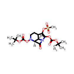 CC(C)(C)OC(=O)OC1=C(OS(C)(=O)=O)C2CCN(OC(=O)OC(C)(C)C)[C@@H]3C(=O)N1[C@H]23